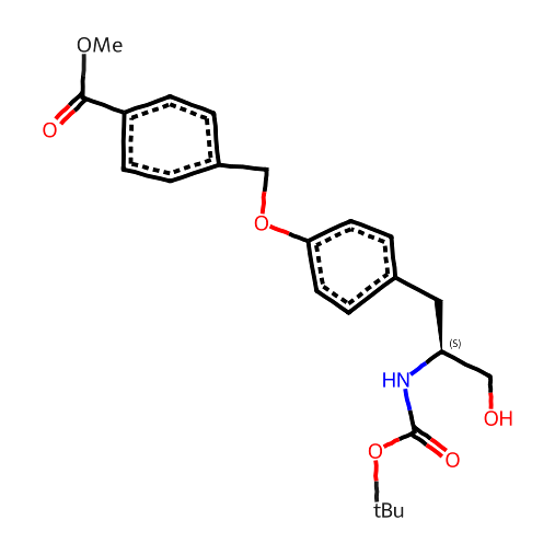 COC(=O)c1ccc(COc2ccc(C[C@@H](CO)NC(=O)OC(C)(C)C)cc2)cc1